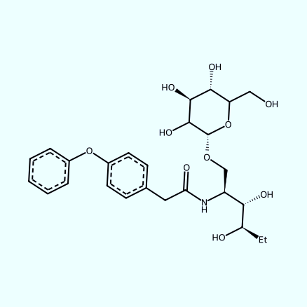 CC[C@@H](O)[C@@H](O)[C@H](CO[C@H]1OC(CO)[C@@H](O)[C@H](O)C1O)NC(=O)Cc1ccc(Oc2ccccc2)cc1